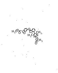 COC(=O)CC1COc2cc(O[C@@H]3CCc4c(-c5c(C)nc(OCC6(C)COC6)nc5C)cccc43)ccc21